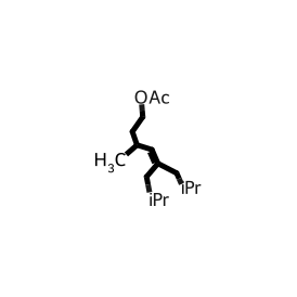 CC(=O)OCCC(C)C=C(CC(C)C)CC(C)C